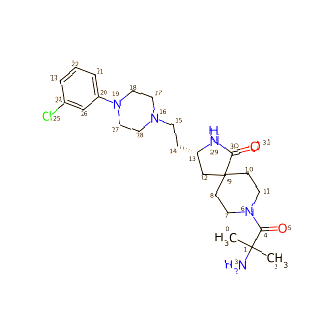 CC(C)(N)C(=O)N1CCC2(CC1)C[C@H](CCN1CCN(c3cccc(Cl)c3)CC1)NC2=O